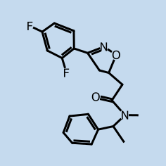 CC(c1ccccc1)N(C)C(=O)CC1CC(c2ccc(F)cc2F)=NO1